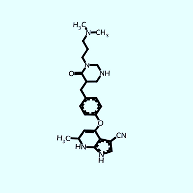 CC1C=C(Oc2ccc(CC3CNCN(CCCN(C)C)C3=O)cc2)c2c(C#N)c[nH]c2N1